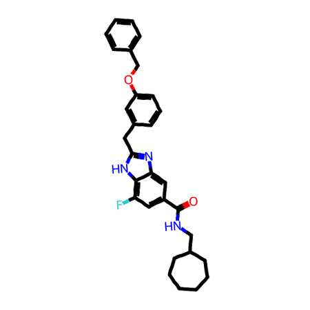 O=C(NCC1CCCCCC1)c1cc(F)c2[nH]c(Cc3cccc(OCc4ccccc4)c3)nc2c1